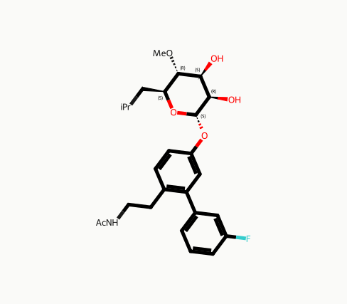 CO[C@@H]1[C@@H](O)[C@@H](O)[C@H](Oc2ccc(CCNC(C)=O)c(-c3cccc(F)c3)c2)O[C@H]1CC(C)C